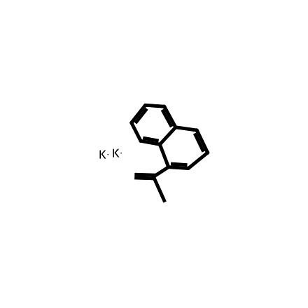 C=C(C)c1cccc2ccccc12.[K].[K]